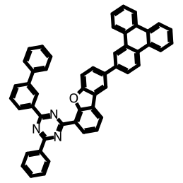 c1ccc(-c2cccc(-c3nc(-c4ccccc4)nc(-c4cccc5c4oc4ccc(-c6ccc7c8ccccc8c8ccccc8c7c6)cc45)n3)c2)cc1